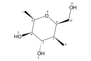 C[C@H]1[C@H](O)[C@@H](O)[C@@H](C)O[C@H]1CO